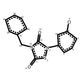 O=c1sn(-c2cccc(Cl)c2)c(=O)n1Cc1ccccc1